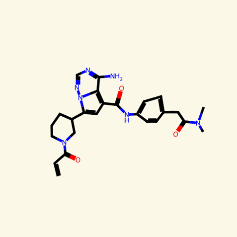 C=CC(=O)N1CCCC(c2cc(C(=O)Nc3ccc(CC(=O)N(C)C)cc3)c3c(N)ncnn23)C1